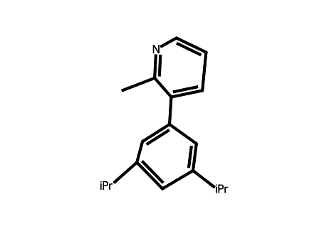 Cc1ncccc1-c1cc(C(C)C)cc(C(C)C)c1